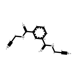 N#CC[Se]C(=O)c1cccc(C(=O)[Se]CC#N)c1